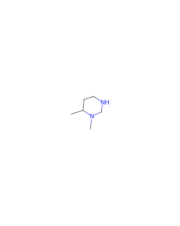 CC1CCNCN1C